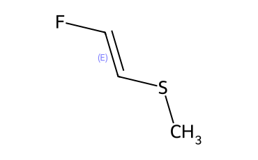 CS/C=C/F